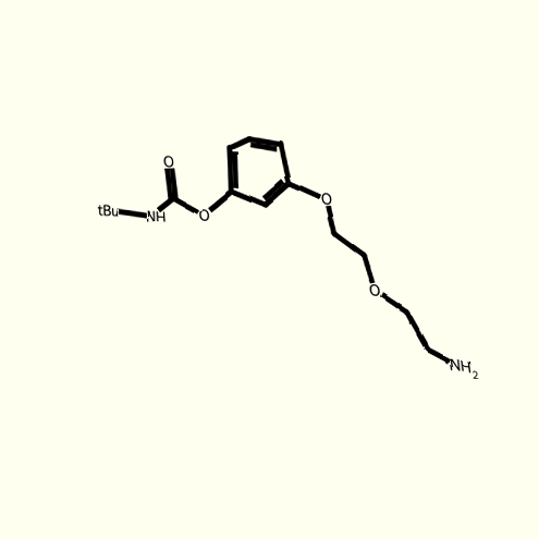 CC(C)(C)NC(=O)Oc1cccc(OCCOCCN)c1